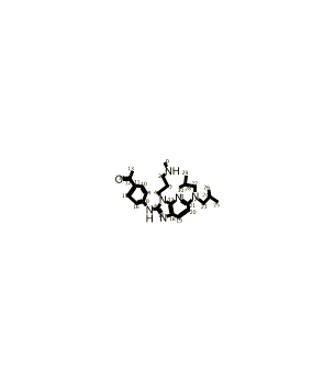 CNCCCn1c(Nc2ccc(C(C)=O)cc2)nc2ccc(N(CC(C)C)CC(C)C)nc21